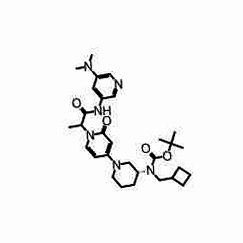 CC(C(=O)Nc1cncc(N(C)C)c1)n1ccc(N2CCC[C@@H](N(CC3CCC3)C(=O)OC(C)(C)C)C2)cc1=O